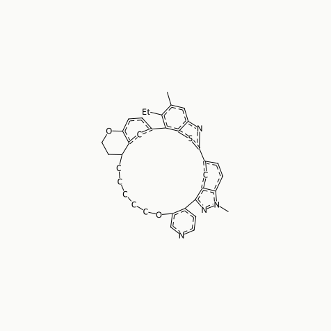 CCc1c(C)cc2nc3sc2c1-c1ccc2c(c1)C(CCCCCOc1cnccc1-c1nn(C)c4ccc-3cc14)CCO2